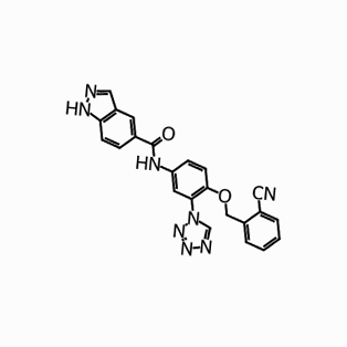 N#Cc1ccccc1COc1ccc(NC(=O)c2ccc3[nH]ncc3c2)cc1-n1cnnn1